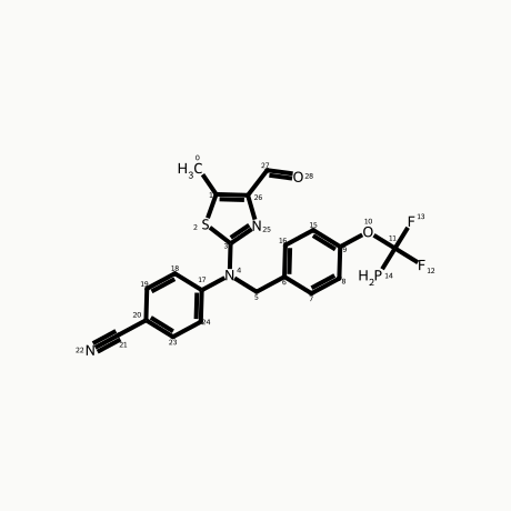 Cc1sc(N(Cc2ccc(OC(F)(F)P)cc2)c2ccc(C#N)cc2)nc1C=O